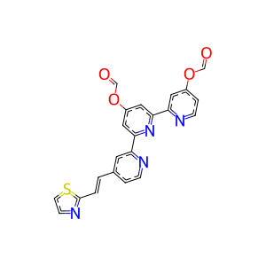 O=COc1ccnc(-c2cc(OC=O)cc(-c3cc(/C=C/c4nccs4)ccn3)n2)c1